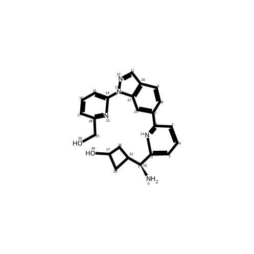 N[C@H](c1cccc(-c2ccc3cnn(-c4cccc(CO)n4)c3c2)n1)C1CC(O)C1